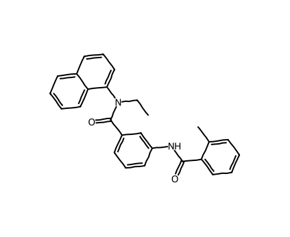 CCN(C(=O)c1cccc(NC(=O)c2ccccc2C)c1)c1cccc2ccccc12